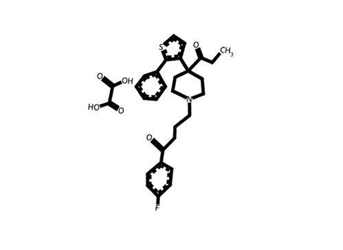 CCC(=O)C1(c2ccsc2-c2ccccc2)CCN(CCCC(=O)c2ccc(F)cc2)CC1.O=C(O)C(=O)O